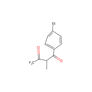 CCc1ccc(C(=O)C(C)C(=O)C(F)(F)F)cc1